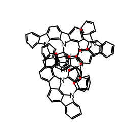 c1ccc(C2N=C(n3c4ccccc4c4ccc5c6ccc7c8ccccc8n(-c8ccccc8)c7c6n(-c6ccccc6)c5c43)N=C(n3c4ccccc4c4ccc5c6ccc7c8ccccc8n(-c8cccc(-n9c%10ccccc%10c%10cc%11c(cc%109)c9ccccc9n%11-c9ccccc9)c8)c7c6n(-c6ccccc6)c5c43)N2)cc1